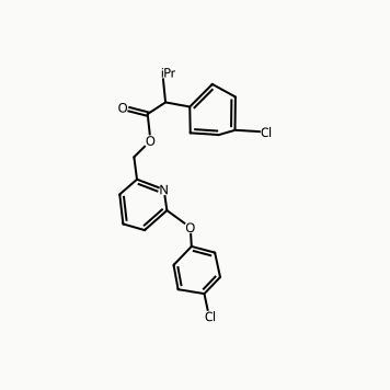 CC(C)C(C(=O)OCc1cccc(Oc2ccc(Cl)cc2)n1)c1ccc(Cl)cc1